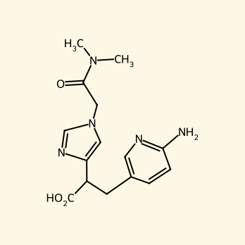 CN(C)C(=O)Cn1cnc(C(Cc2ccc(N)nc2)C(=O)O)c1